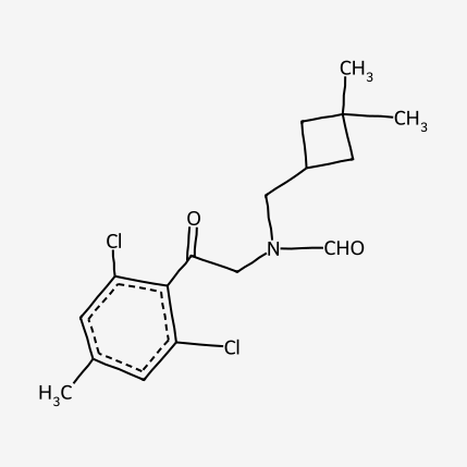 Cc1cc(Cl)c(C(=O)CN(C=O)CC2CC(C)(C)C2)c(Cl)c1